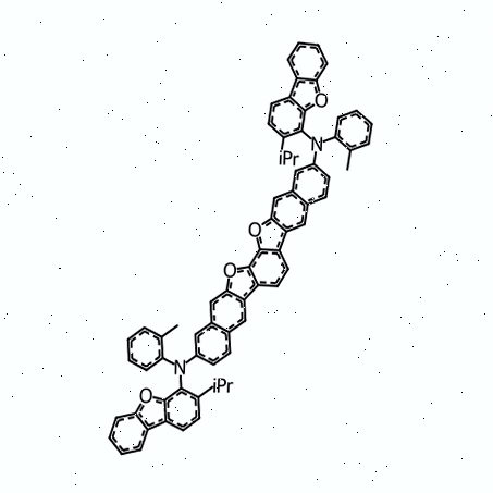 Cc1ccccc1N(c1ccc2cc3c(cc2c1)oc1c3ccc2c3cc4ccc(N(c5ccccc5C)c5c(C(C)C)ccc6c5oc5ccccc56)cc4cc3oc21)c1c(C(C)C)ccc2c1oc1ccccc12